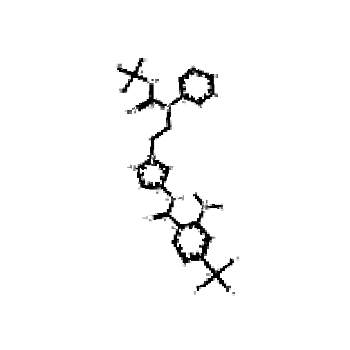 CN(C)c1cc(C(F)(F)F)ccc1C(=O)Nc1cnn(CCN(C(=O)OC(C)(C)C)c2ccccc2)c1